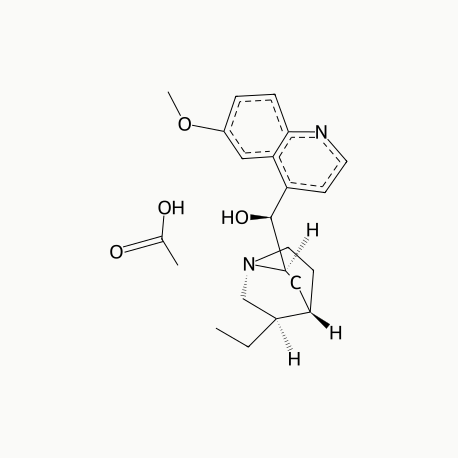 CC(=O)O.CC[C@H]1C[N@]2CC[C@H]1C[C@@H]2[C@@H](O)c1ccnc2ccc(OC)cc12